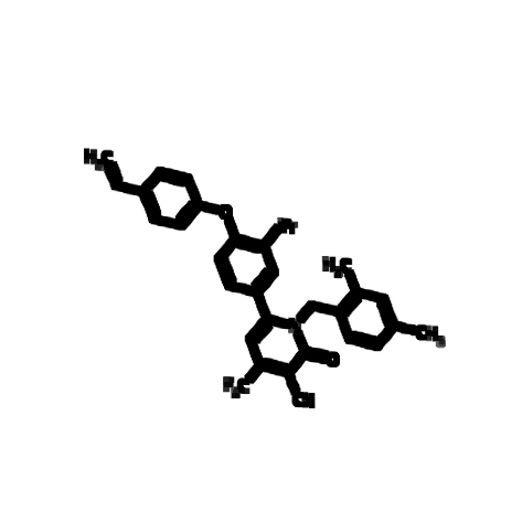 C=Cc1ccc(Oc2ccc(-c3cc(C(F)(F)F)c(C#N)c(=O)n3Cc3ccc(C)cc3C)cc2C(C)C)cc1